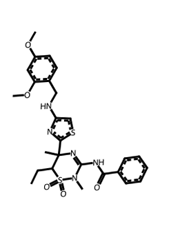 CCC1C(C)(c2nc(NCc3ccc(OC)cc3OC)cs2)N=C(NC(=O)c2ccccc2)N(C)S1(=O)=O